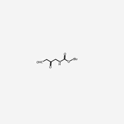 CC(C)(C)OC(=O)NCC(=O)CC=O